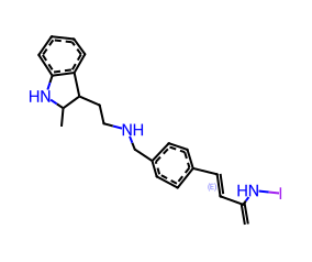 C=C(/C=C/c1ccc(CNCCC2c3ccccc3NC2C)cc1)NI